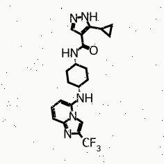 O=C(N[C@H]1CC[C@@H](Nc2cccc3nc(C(F)(F)F)cn23)CC1)c1cn[nH]c1C1CC1